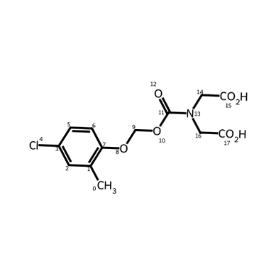 Cc1cc(Cl)ccc1OCOC(=O)N(CC(=O)O)CC(=O)O